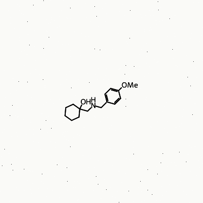 COc1ccc(CNCC2(O)CCCCC2)cc1